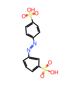 O=S(=O)(O)c1ccc(/N=N/c2cccc(S(=O)(=O)O)c2)cc1